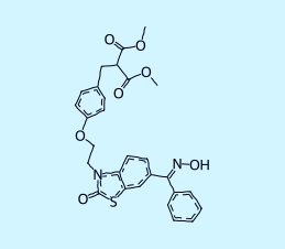 COC(=O)C(Cc1ccc(OCCn2c(=O)sc3cc(C(=NO)c4ccccc4)ccc32)cc1)C(=O)OC